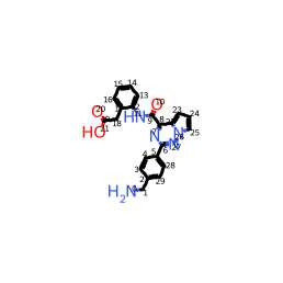 NCc1ccc(-c2nc(C(=O)Nc3ccccc3CC(=O)O)c3cccn3n2)cc1